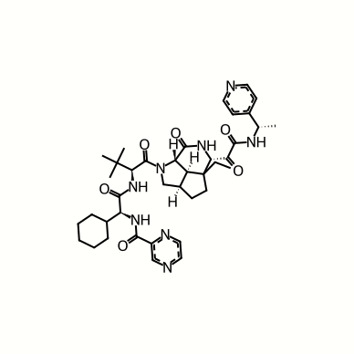 CCC12CC[C@H]3CN(C(=O)[C@@H](NC(=O)[C@@H](NC(=O)c4cnccn4)C4CCCCC4)C(C)(C)C)[C@H](C(=O)N[C@@H]1C(=O)C(=O)N[C@@H](C)c1ccncc1)[C@H]32